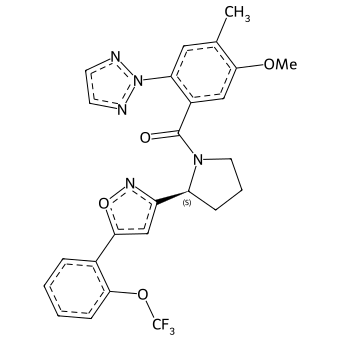 COc1cc(C(=O)N2CCC[C@H]2c2cc(-c3ccccc3OC(F)(F)F)on2)c(-n2nccn2)cc1C